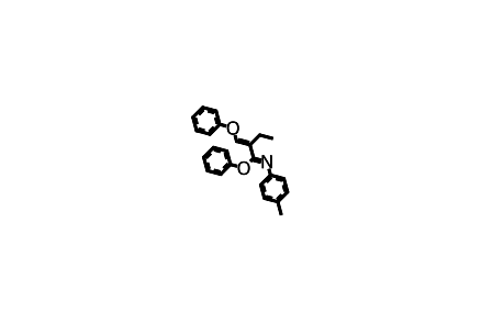 CCC(=C\Oc1ccccc1)/C(=N/c1ccc(C)cc1)Oc1ccccc1